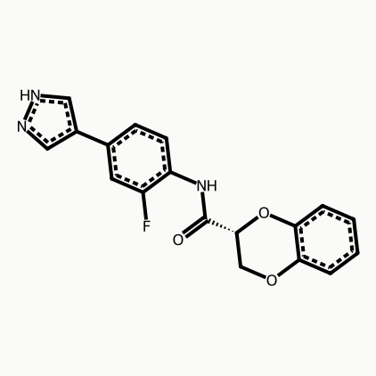 O=C(Nc1ccc(-c2cn[nH]c2)cc1F)[C@H]1COc2ccccc2O1